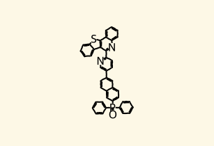 O=P(c1ccccc1)(c1ccccc1)c1ccc2cc(-c3ccc(-c4nc5ccccc5c5sc6ccccc6c45)nc3)ccc2c1